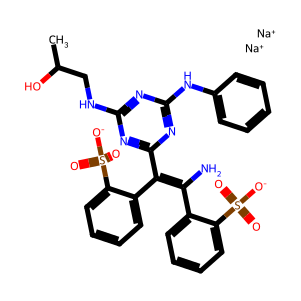 CC(O)CNc1nc(Nc2ccccc2)nc(C(=C(N)c2ccccc2S(=O)(=O)[O-])c2ccccc2S(=O)(=O)[O-])n1.[Na+].[Na+]